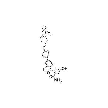 NC(=O)[C@@H]1CC(O)C[C@H]1C(=O)c1ccc(-c2cnc(OCC3CCN(CC4(C(F)(F)F)CCC4)CC3)cn2)cc1F